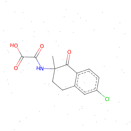 CC1(NC(=O)C(=O)O)CCc2cc(Cl)ccc2C1=O